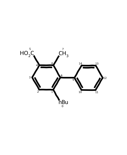 CCCCc1ccc(C(=O)O)c(C)c1-c1ccccc1